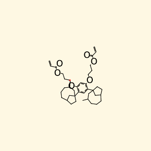 C=CC(=O)OCCCOc1cc(OCCCOC(=O)C=C)c(C23CCC(CCCC(C)C2)C3)cc1C12CCC(CCCC(C)C1)C2